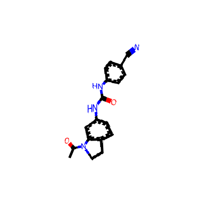 CC(=O)N1CCc2ccc(NC(=O)Nc3ccc(C#N)cc3)cc21